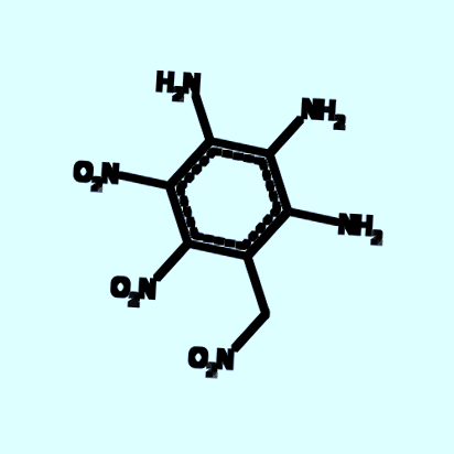 Nc1c(N)c(C[N+](=O)[O-])c([N+](=O)[O-])c([N+](=O)[O-])c1N